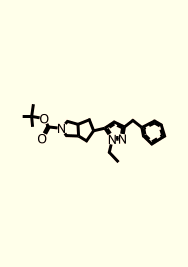 CCn1nc(Cc2ccccc2)cc1C1CC2CN(C(=O)OC(C)(C)C)CC2C1